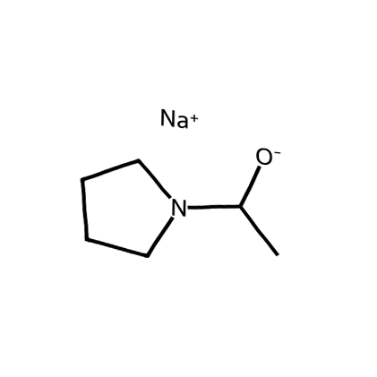 CC([O-])N1CCCC1.[Na+]